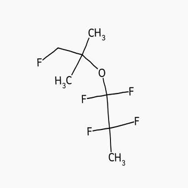 CC(C)(CF)OC(F)(F)C(C)(F)F